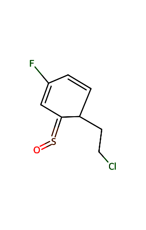 O=S=C1C=C(F)C=CC1CCCl